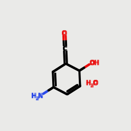 NC1=CC(=C=O)C(O)C=C1.O